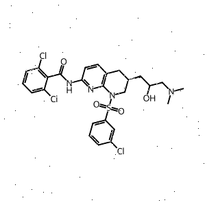 CN(C)CC(O)C[C@@H]1Cc2ccc(NC(=O)c3c(Cl)cccc3Cl)nc2N(S(=O)(=O)c2cccc(Cl)c2)C1